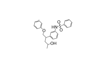 CC(O)CC(COc1c[c]ccc1)c1cccc(NS(=O)(=O)c2ccccc2)c1